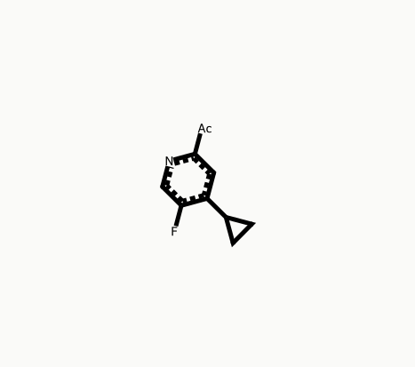 CC(=O)c1cc(C2CC2)c(F)cn1